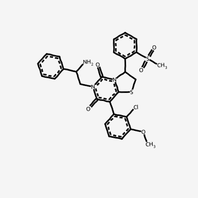 COc1cccc(-c2c3n(c(=O)n(CC(N)c4ccccc4)c2=O)C(c2ccccc2S(C)(=O)=O)CS3)c1Cl